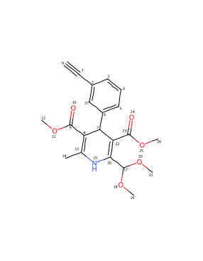 C#Cc1cccc(C2C(C(=O)OC)=C(C)NC(C(OC)OC)=C2C(=O)OC)c1